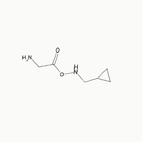 NCC(=O)ONCC1CC1